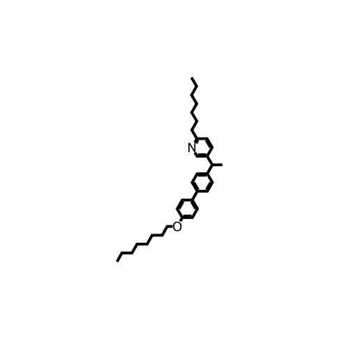 CCCCCCCCOc1ccc(-c2ccc(C(C)c3ccc(CCCCCCC)nc3)cc2)cc1